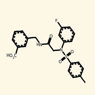 Cc1ccc(S(=O)(=O)N(CC(=O)NCc2cccc(C(=O)O)c2)c2cccc(F)c2)cc1